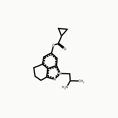 CC(N)Cn1nc2c3c(cc(OC(=O)C4CC4)cc31)CCC2